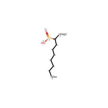 CCCCCCCCCCCCCCCCC(CCCCCCC)[PH](=O)O